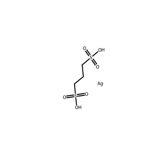 O=S(=O)(O)CCCS(=O)(=O)O.[Ag]